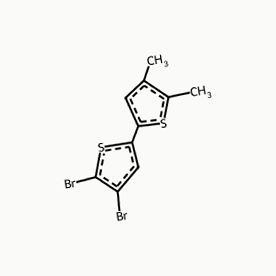 Cc1cc(-c2cc(Br)c(Br)s2)sc1C